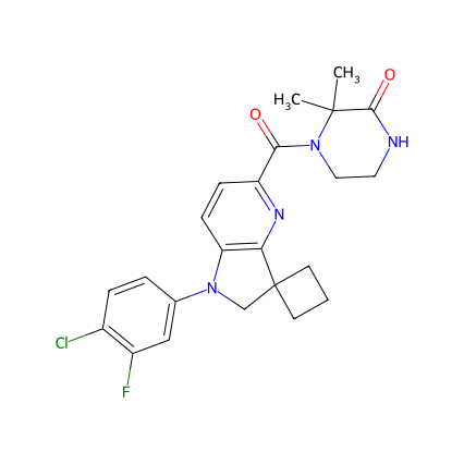 CC1(C)C(=O)NCCN1C(=O)c1ccc2c(n1)C1(CCC1)CN2c1ccc(Cl)c(F)c1